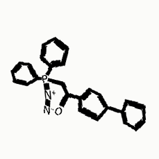 [N-]=[N+]=P(CC(=O)c1ccc(-c2ccccc2)cc1)(c1ccccc1)c1ccccc1